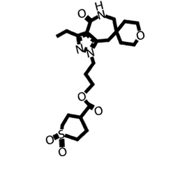 CCc1nn(CCCOC(=O)C2CCS(=O)(=O)CC2)c2c1C(=O)NCC1(CCOCC1)C2